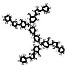 Cc1cc(N(c2ccc(-c3ccc(N(c4ccc(-c5ccc(-c6ccccc6)s5)c(C)c4)c4ccc(-c5ccc(-c6ccccc6)s5)c(C)c4)cc3)cc2)c2ccc(-c3ccc(-c4ccccc4)s3)c(C)c2)ccc1-c1ccc(-c2ccccc2)s1